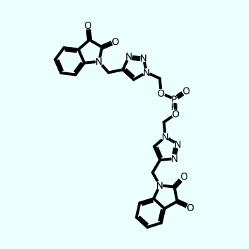 O=C1C(=O)N(Cc2cn(CO[PH](=O)OCn3cc(CN4C(=O)C(=O)c5ccccc54)nn3)nn2)c2ccccc21